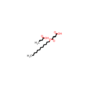 C=CCC(=O)O.CCCCCCCCCCCCOC(=O)/C=C/C(=O)O